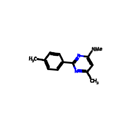 CNc1cc(C)nc(-c2ccc(C)cc2)n1